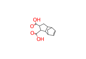 O=C(O)C1CC2C3C=CC(C3)C2C1C(=O)O